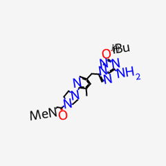 CC[C@@H](C)Oc1nc(N)c2ncc(Cc3cnc(N4CCN(C(=O)CNC)CC4)c(C)c3)n2n1